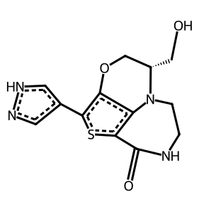 O=C1NCCN2c3c1sc(-c1cn[nH]c1)c3OC[C@@H]2CO